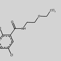 O=C(NCCOCC(Cl)(Cl)Cl)c1cc(Cl)ccc1O